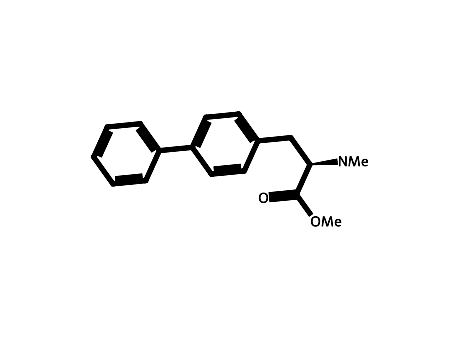 CN[C@H](Cc1ccc(-c2ccccc2)cc1)C(=O)OC